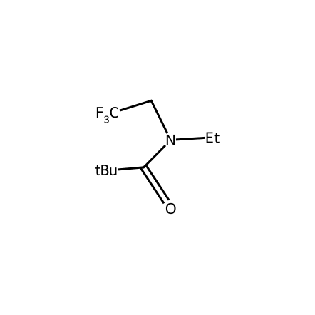 CCN(CC(F)(F)F)C(=O)C(C)(C)C